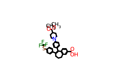 COC(OC)C1CCN(c2ccc(C3=C(c4ccc(SC(F)(F)F)cc4)CCCc4cc(C(=O)O)ccc43)cc2)CC1